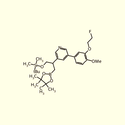 COc1ccc(-c2cncc(C(CO[Si](C)(C)C(C)(C)C)CB3OC(C)(C)C(C)(C)O3)c2)cc1OCCF